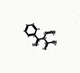 N=NN(C(=N)c1ccccc1)C(=S)S